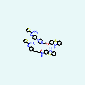 NC(=Nc1ccc(CCCC(=O)Nc2ccc3c(c2)Sc2ccccc2N3)cc1)c1cccs1.NC(=Nc1ccc(N2CCN(CCOc3ccc4c(c3)Nc3ccccc3S4)CC2)cc1)c1cccs1